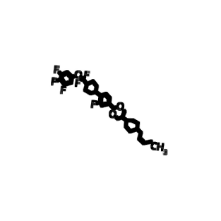 CC/C=C\CC1CCC(C2COC(c3ccc(C4CCC(C(F)(F)Oc5cc(F)c(F)c(F)c5)CC4)c(F)c3)OC2)CC1